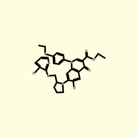 CCOC(=O)c1cn(-c2ccc(SCC)cc2)c2cc(N3CCCC3COc3ncccc3Cl)c(Cl)cc2c1=O